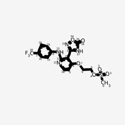 CS(=O)(=O)OCCOc1ccnc(Nc2ccc(C(F)(F)F)cc2)c1-c1noc(=O)[nH]1